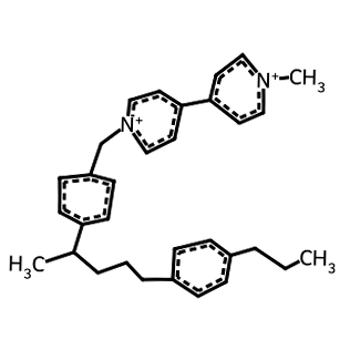 CCCc1ccc(CCCC(C)c2ccc(C[n+]3ccc(-c4cc[n+](C)cc4)cc3)cc2)cc1